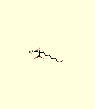 CCCCCCCCCCCCCCC1(C(=O)OC)OC1C